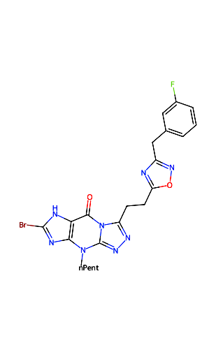 CCCCCn1c2nc(Br)[nH]c2c(=O)n2c(CCc3nc(Cc4cccc(F)c4)no3)nnc12